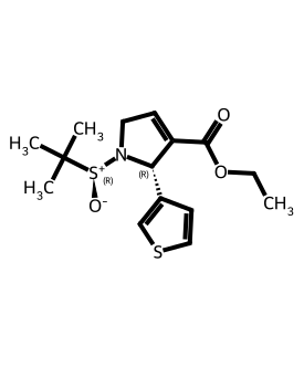 CCOC(=O)C1=CCN([S@@+]([O-])C(C)(C)C)[C@H]1c1ccsc1